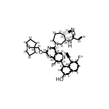 C#Cc1c(F)ccc2cc(O)cc(-c3ncc4c(N5CCC[C@H](C#N)[C@@H](NC(=O)C=C)C5)nc(OCC56CCCN5CCC6)nc4c3F)c12